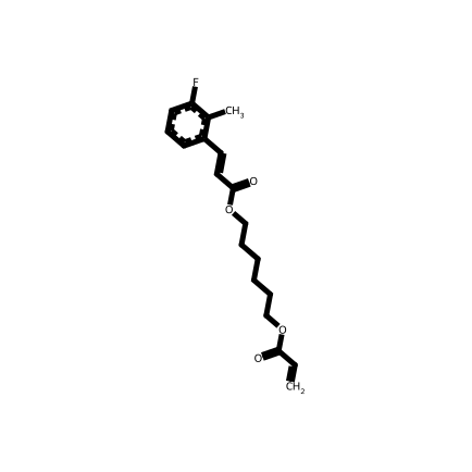 C=CC(=O)OCCCCCCOC(=O)/C=C/c1cccc(F)c1C